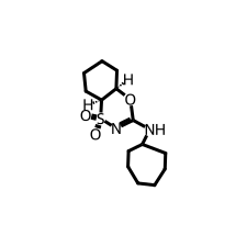 O=S1(=O)N=C(NC2CCCCCC2)O[C@@H]2CCCC[C@@H]21